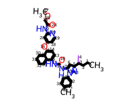 CCCC(I)c1cc(NC(=O)Nc2ccc(Oc3ccnc(NC(=O)COC)c3)c3ccccc23)n(-c2ccc(C)cc2)n1